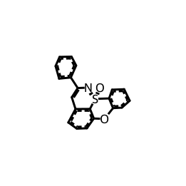 O=S12=NC(c3ccccc3)=Cc3cccc(c31)Oc1ccccc12